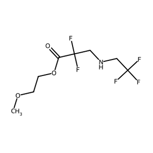 COCCOC(=O)C(F)(F)CNCC(F)(F)F